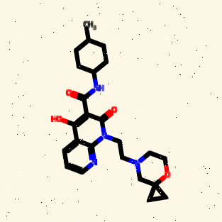 CC1CCC(NC(=O)c2c(O)c3cccnc3n(CCN3CCOC4(CC4)C3)c2=O)CC1